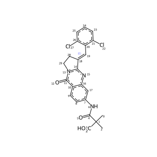 CC(C)(C(=O)O)C(=O)Nc1ccc2c(=O)n3c(nc2c1)/C(=C/c1c(Cl)cccc1Cl)CC3